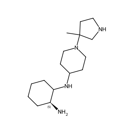 CC1(N2CCC(NC3CCCC[C@@H]3N)CC2)CCNC1